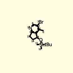 Cc1c(Br)cnc2c1C(O[Si](C)(C)C(C)(C)C)CC2